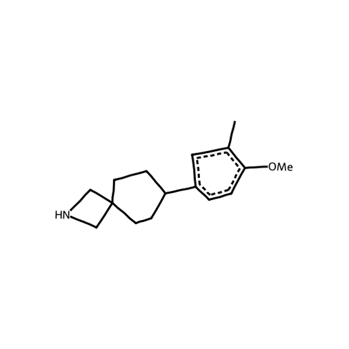 COc1ccc(C2CCC3(CC2)CNC3)cc1C